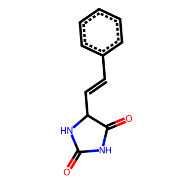 O=C1NC(=O)C(C=Cc2ccccc2)N1